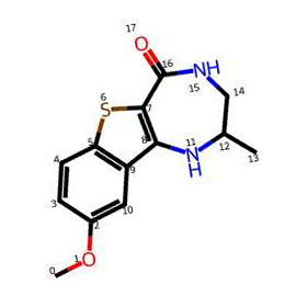 COc1ccc2sc3c(c2c1)NC(C)CNC3=O